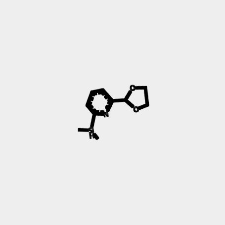 C[SiH](C)c1cccc(C2OCCO2)n1